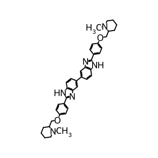 CN1CCCCC1COc1ccc(-c2nc3cc(-c4ccc5[nH]c(-c6ccc(OCC7CCCCN7C)cc6)nc5c4)ccc3[nH]2)cc1